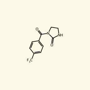 O=C1NCCN1C(=O)c1ccc(C(F)(F)F)cc1